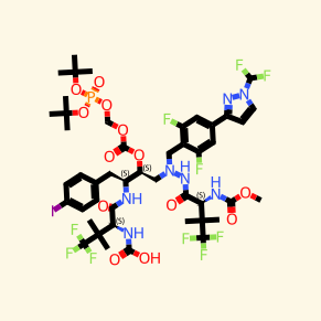 COC(=O)N[C@H](C(=O)NN(Cc1c(F)cc(-c2ccn(C(F)F)n2)cc1F)C[C@H](OC(=O)OCOP(=O)(OC(C)(C)C)OC(C)(C)C)[C@H](Cc1ccc(I)cc1)NC(=O)[C@@H](NC(=O)O)C(C)(C)C(F)(F)F)C(C)(C)C(F)(F)F